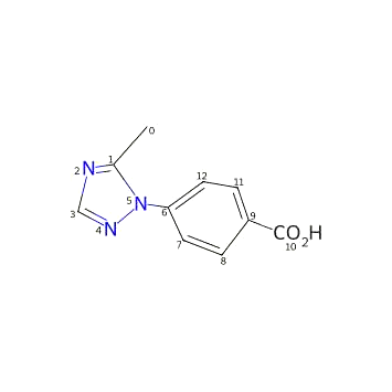 Cc1ncnn1-c1ccc(C(=O)O)cc1